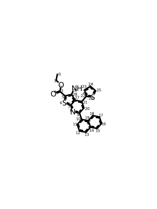 CCOC(=O)c1sc2nc(-c3cccc4ccccc34)cc(-c3cccs3)c2c1N